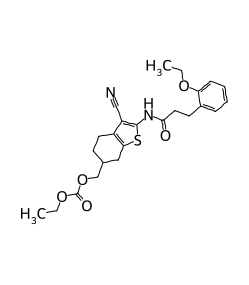 CCOC(=O)OCC1CCc2c(sc(NC(=O)CCc3ccccc3OCC)c2C#N)C1